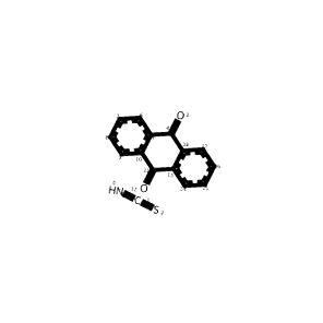 N=C=S.O=C1c2ccccc2C(=O)c2ccccc21